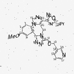 COc1ccc2c(c1)-c1nnc(COCc3cccnc3)n1Cc1c(-c3noc(C(C)C)n3)ncn1-2